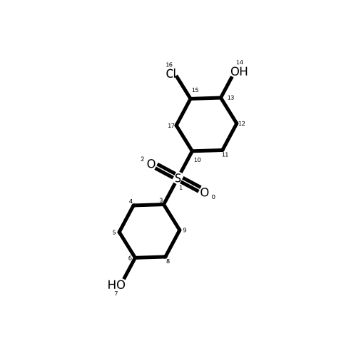 O=S(=O)(C1CCC(O)CC1)C1CCC(O)C(Cl)C1